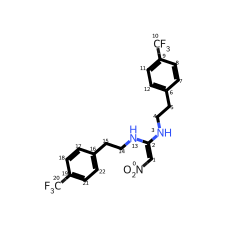 O=[N+]([O-])C=C(NCCc1ccc(C(F)(F)F)cc1)NCCc1ccc(C(F)(F)F)cc1